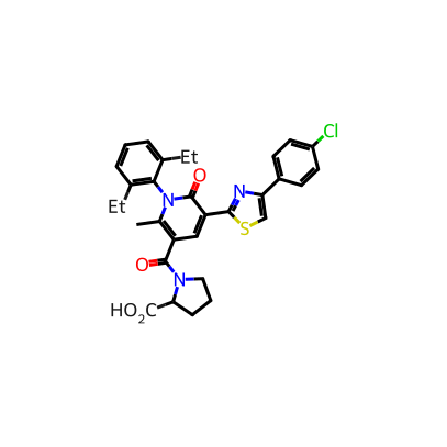 CCc1cccc(CC)c1-n1c(C)c(C(=O)N2CCCC2C(=O)O)cc(-c2nc(-c3ccc(Cl)cc3)cs2)c1=O